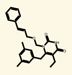 CCc1c(Cc2cc(C)cc(C)c2)n(COC/C=C/c2ccccc2)c(=O)[nH]c1=O